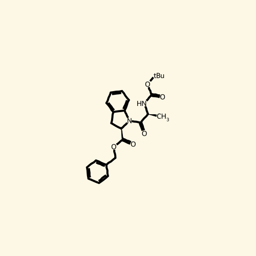 C[C@H](NC(=O)OC(C)(C)C)C(=O)N1c2ccccc2C[C@@H]1C(=O)OCc1ccccc1